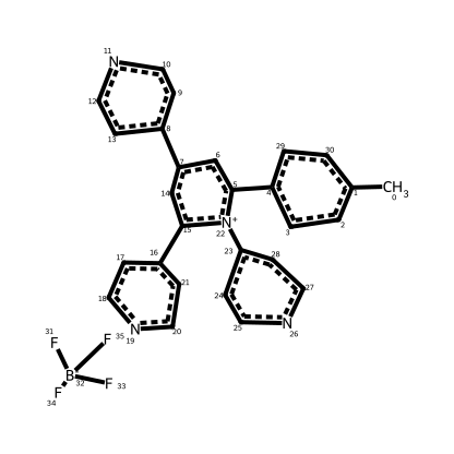 Cc1ccc(-c2cc(-c3ccncc3)cc(-c3ccncc3)[n+]2-c2ccncc2)cc1.F[B-](F)(F)F